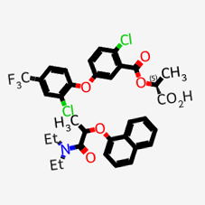 CCN(CC)C(=O)C(C)Oc1cccc2ccccc12.C[C@H](OC(=O)c1cc(Oc2ccc(C(F)(F)F)cc2Cl)ccc1Cl)C(=O)O